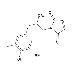 CC(=O)OC(Cc1cc(C)c(O)c(C(C)(C)C)c1)CN1C(=O)C=CC1=O